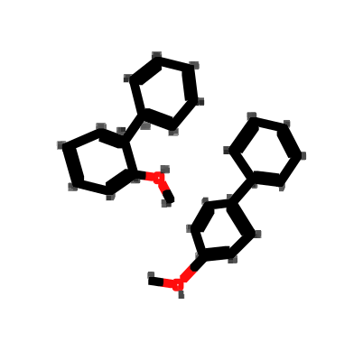 COc1ccc(-c2ccccc2)cc1.COc1ccccc1-c1ccccc1